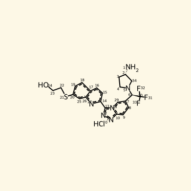 Cl.N[C@H]1CCN([C@H](c2ccc3nnc(-c4ccc5ccc(SCCO)cc5n4)n3c2)C(F)(F)F)C1